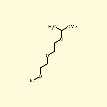 [CH2]C(OC)OCCOCCOCC